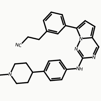 CN1CCC(c2ccc(Nc3ncc4ccc(-c5cccc(CCC#N)c5)n4n3)cc2)CC1